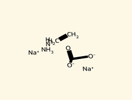 C=C.N.N.O=C([O-])[O-].[Na+].[Na+]